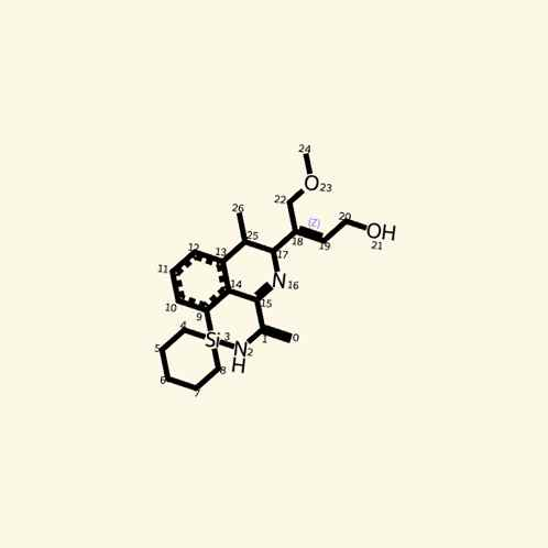 C=C1N[Si]2(CCCCC2)c2cccc3c2C1=NC(/C(=C/CO)COC)C3C